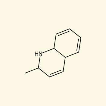 CC1C=CC2C=CC=CC2N1